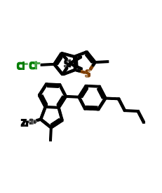 CC1=C2c3cc(C)sc3C1[Si]2(C)C.CCCCc1ccc(-c2cccc3c2C=C(C)[CH]3[Zr+2])cc1.[Cl-].[Cl-]